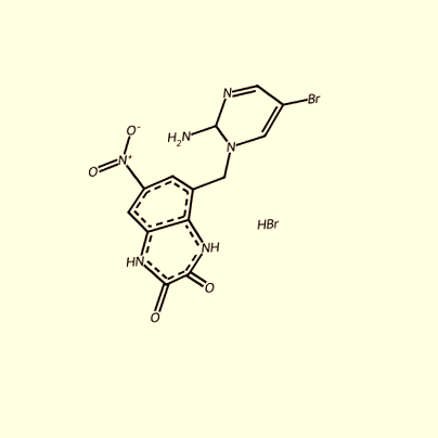 Br.NC1N=CC(Br)=CN1Cc1cc([N+](=O)[O-])cc2[nH]c(=O)c(=O)[nH]c12